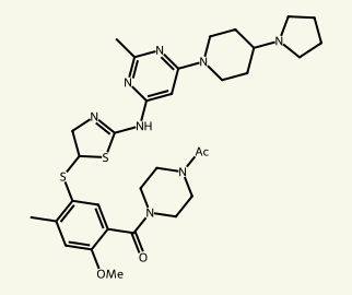 COc1cc(C)c(SC2CN=C(Nc3cc(N4CCC(N5CCCC5)CC4)nc(C)n3)S2)cc1C(=O)N1CCN(C(C)=O)CC1